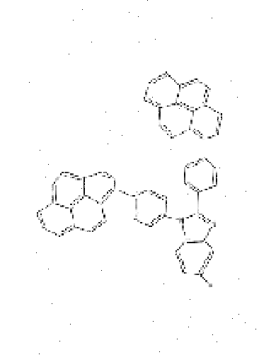 Fc1ccc2c(c1)nc(-c1ccc(-c3ccc4ccc5cccc6ccc3c4c56)cc1)n2-c1ccc(-c2ccc3ccc4cccc5ccc2c3c45)cc1